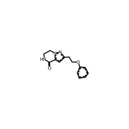 O=C1NCCn2nc(CCOc3ccccc3)cc21